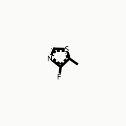 Cc1s[c]nc1F